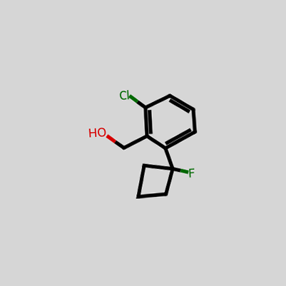 OCc1c(Cl)cccc1C1(F)CCC1